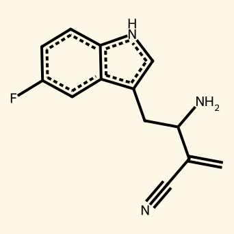 C=C(C#N)C(N)Cc1c[nH]c2ccc(F)cc12